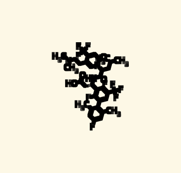 Cc1cc(F)cc(C)c1-c1cc(C(F)(F)F)c(F)c([C@H](CC(=O)O)NC(=O)C(CC(C)C)n2cc(CCN(C)C)c(C(F)(F)F)cc2=O)c1F